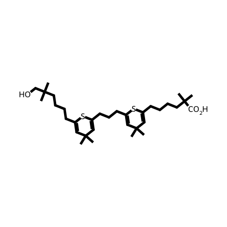 CC1(C)C=C(CCCCC(C)(C)CO)SC(CCCC2=CC(C)(C)C=C(CCCCC(C)(C)C(=O)O)S2)=C1